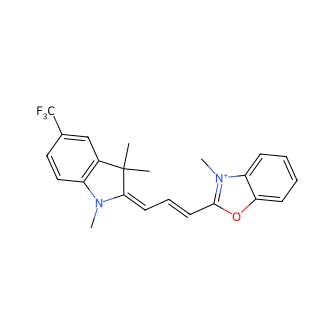 CN1/C(=C/C=C/c2oc3ccccc3[n+]2C)C(C)(C)c2cc(C(F)(F)F)ccc21